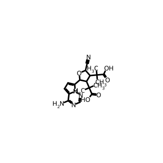 CC(C)(C(=O)O)C1C(C#N)OC(c2ccc3c(N)ncnn23)C1C(C)(C)C(=O)O